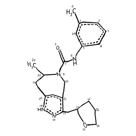 Cc1cccc(NC(=O)N2Cc3c(C4CCCO4)n[nH]c3CC2C)c1